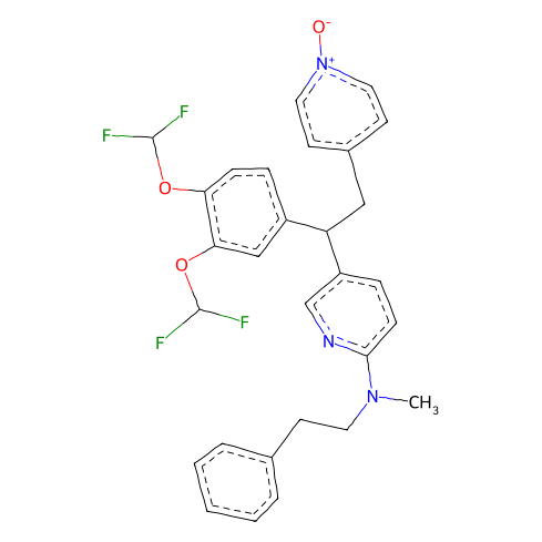 CN(CCc1ccccc1)c1ccc(C(Cc2cc[n+]([O-])cc2)c2ccc(OC(F)F)c(OC(F)F)c2)cn1